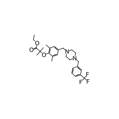 CCOC(=O)C(C)(C)Oc1c(C)cc(CN2CCN(Cc3cccc(C(F)(F)F)c3)CC2)cc1C